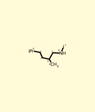 CC(C)CCC(C)CNI